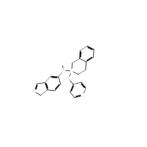 O=C([O-])N(c1ccc2c(c1)C=NC2)[N+]1(Nc2ccncc2)CCc2ccccc2C1